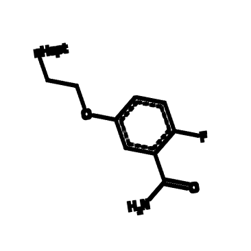 CCCCCCCCCOc1ccc(F)c(C(N)=O)c1